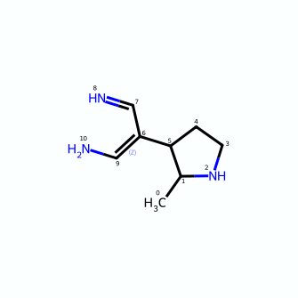 CC1NCCC1/C(C=N)=C/N